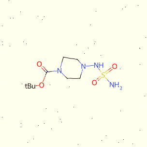 CC(C)(C)OC(=O)N1CCN(NS(N)(=O)=O)CC1